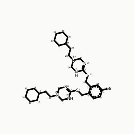 Brc1ccc(CSC2=NCN(CCC3CCCCC3)CN2)c(CSC2=NCN(CCC3CCCCC3)CN2)c1